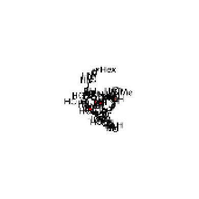 CCCCCCc1ccc(NC(=O)NCCCCNCc2c(O)cc3c(c2O)-c2cc(ccc2O)[C@H]2NC(=O)[C@@H]4NC(=O)[C@H](CC(N)=O)NC(=O)[C@H](NC(=O)[C@@H](CC(C)C)NC)[C@H](O)c5ccc(c(C)c5)Oc5cc4cc(c5O[C@@H]4O[C@H](CO)[C@@H](O)[C@H](O)[C@H]4O[C@H]4C[C@]5(C)NC(=O)O[C@@H]5[C@H](C)O4)Oc4ccc(cc4Cl)[C@@H](O)[C@H](NC2=O)C(=O)N[C@@H]3C(=O)O)cc1